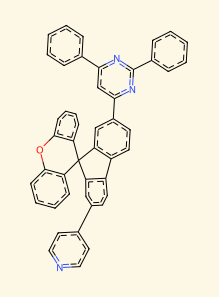 c1ccc(-c2cc(-c3ccc4c(c3)C3(c5ccccc5Oc5ccccc53)c3cc(-c5ccncc5)ccc3-4)nc(-c3ccccc3)n2)cc1